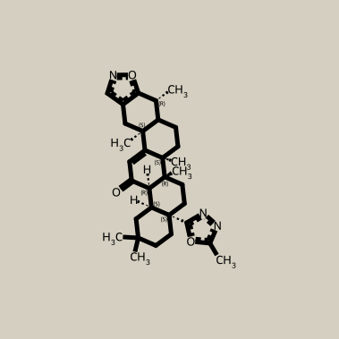 Cc1nnc([C@]23CCC(C)(C)C[C@H]2[C@H]2C(=O)C=C4[C@@]5(C)Cc6cnoc6[C@H](C)C5CC[C@@]4(C)[C@]2(C)CC3)o1